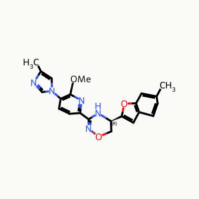 COc1nc(C2=NOC[C@H](c3cc4ccc(C)cc4o3)N2)ccc1-n1cnc(C)c1